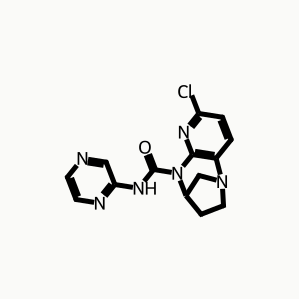 O=C(Nc1cnccn1)N1c2nc(Cl)ccc2N2CCC1C2